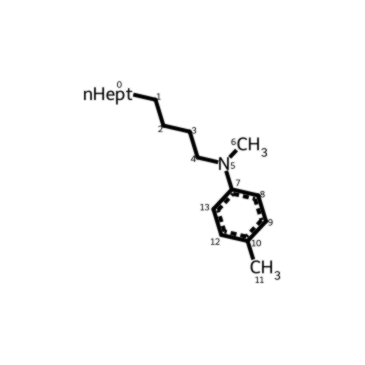 CCCCCCCCCCCN(C)c1ccc(C)cc1